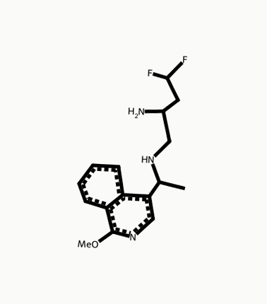 COc1ncc(C(C)NCC(N)CC(F)F)c2ccccc12